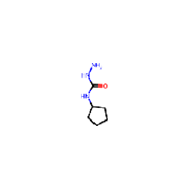 NNC(=O)NC1CCCC1